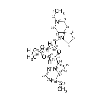 CCN1CCC2(CCCN2C[C@H]2O[C@@H](c3ccc4c(SC)ncnn34)[C@@H]3OC(C)(C)O[C@@H]32)CC1